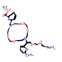 COC(=O)c1cccc(CN2CCOCCOCCN(C(COCCOCCN)c3cccc(C)n3)CCOCCOCC2)n1